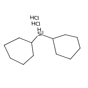 C1CCC([SiH2]C2CCCCC2)CC1.Cl.Cl